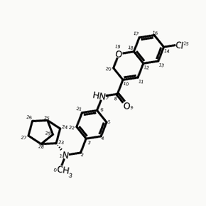 CN(Cc1ccc(NC(=O)C2=Cc3cc(Cl)ccc3OC2)cc1)[C@H]1CC2CCC1C2